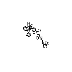 CCN(CC)CCCNC(=O)CNC(=O)c1ccc(S(=O)(=O)Nc2ccccc2Oc2ccccc2)cc1